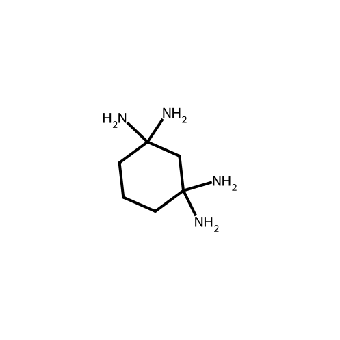 NC1(N)CCCC(N)(N)C1